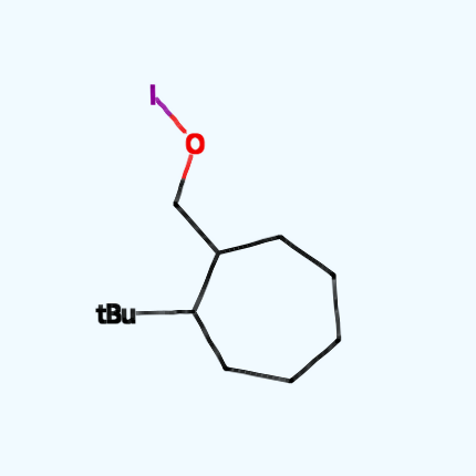 CC(C)(C)C1CCCCCC1COI